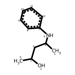 CC(O)CC(C)Nc1ccccc1